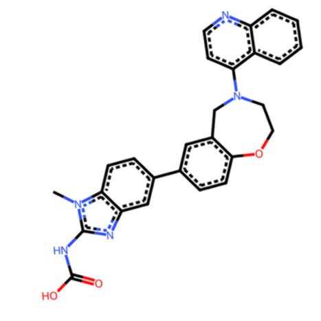 Cn1c(NC(=O)O)nc2cc(-c3ccc4c(c3)CN(c3ccnc5ccccc35)CCO4)ccc21